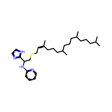 CC(=CCSCC(Nc1ccccn1)c1ncc[nH]1)CCCC(C)CCCC(C)CCCC(C)C